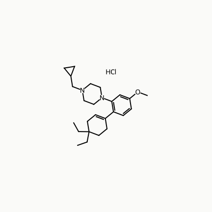 CCC1(CC)CC=C(c2ccc(OC)cc2N2CCN(CC3CC3)CC2)CC1.Cl